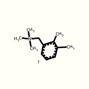 Cc1cccc(C[N+](C)(C)C)c1C.[I-]